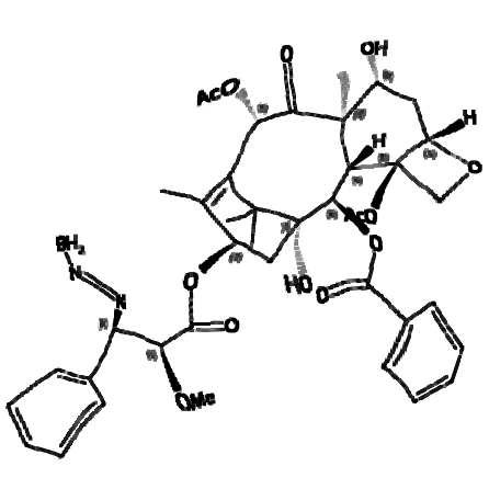 BN=N[C@H](c1ccccc1)[C@H](OC)C(=O)O[C@@H]1C[C@]2(O)[C@H](OC(=O)c3ccccc3)[C@H]3[C@@]4(OC(C)=O)CO[C@H]4C[C@@H](O)[C@]3(C)C(=O)[C@@H](OC(C)=O)C(=C1C)C2(C)C